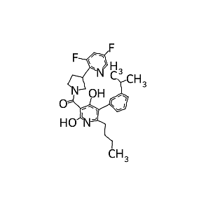 CCCCc1nc(O)c(C(=O)N2CCC(c3ncc(F)cc3F)C2)c(O)c1-c1cccc(C(C)C)c1